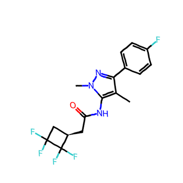 Cc1c(-c2ccc(F)cc2)nn(C)c1NC(=O)C[C@@H]1CC(F)(F)C1(F)F